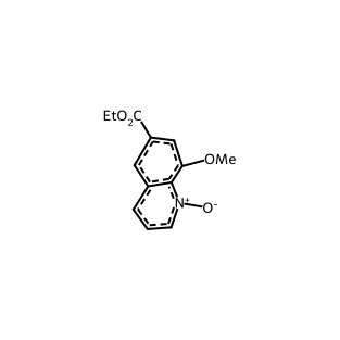 CCOC(=O)c1cc(OC)c2c(ccc[n+]2[O-])c1